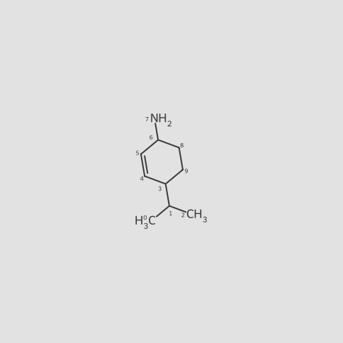 CC(C)C1C=CC(N)CC1